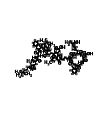 CC(=O)C[C@H](NC(=O)[C@H](CC(=O)O)NC(=O)[C@@H](CNC(=O)C(CC(C)C)NC(=O)C(Cc1ccccc1)NC(=O)CNC(=O)C(N)Cc1cn(CCCC(C)(C)C)nn1)CC(=O)O)C(=O)NCCCCC1NC(=O)[C@@H](Cc2ccccc2)NC(=O)CNC(=O)[C@H](CC(=O)O)NC(=O)C(CCCNC(=N)N)NC1=O